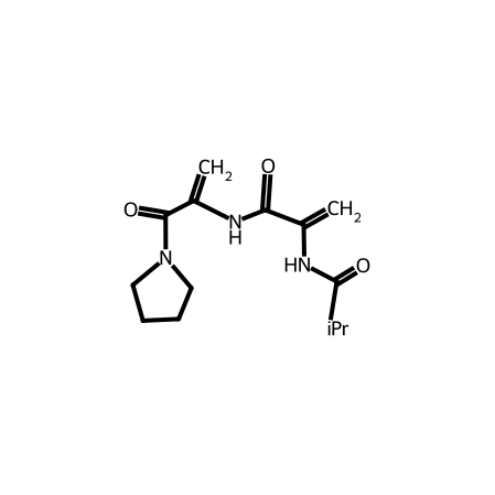 C=C(NC(=O)C(C)C)C(=O)NC(=C)C(=O)N1CCCC1